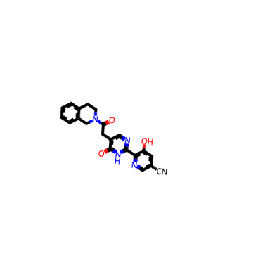 N#Cc1cnc(-c2ncc(CC(=O)N3CCc4ccccc4C3)c(=O)[nH]2)c(O)c1